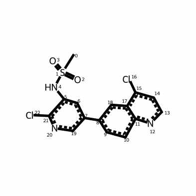 CS(=O)(=O)Nc1cc(-c2ccc3nccc(Cl)c3c2)cnc1Cl